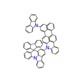 c1ccc(-c2ccc(-c3ccccc3N(c3ccc(-c4cccc(-n5c6ccccc6c6ccccc65)c4)cc3)c3cc4c5c(c3)c3ccccc3n5-c3ccccc3C43c4ccccc4-c4ccccc43)cc2)cc1